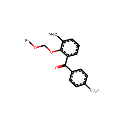 CCOCOc1c(OC)cccc1C(=O)c1ccc(C(=O)O)cc1